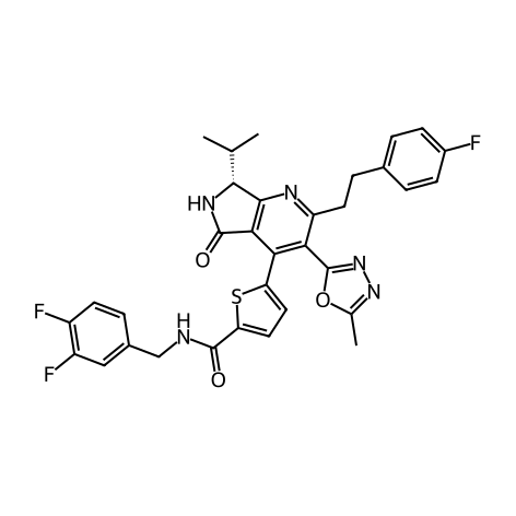 Cc1nnc(-c2c(CCc3ccc(F)cc3)nc3c(c2-c2ccc(C(=O)NCc4ccc(F)c(F)c4)s2)C(=O)N[C@@H]3C(C)C)o1